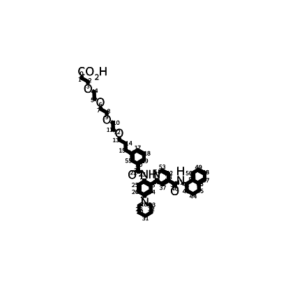 O=C(O)CCOCCOCCOCCOCCCc1cccc(C(=O)Nc2ccc(N3CCCCC3)cc2-c2cc(C(=O)N[C@H]3CCCc4ccccc43)ccn2)c1